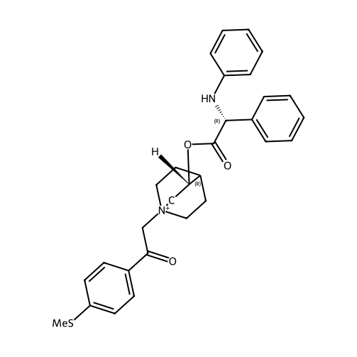 CSc1ccc(C(=O)C[N+]23CCC(CC2)[C@@H](OC(=O)[C@H](Nc2ccccc2)c2ccccc2)C3)cc1